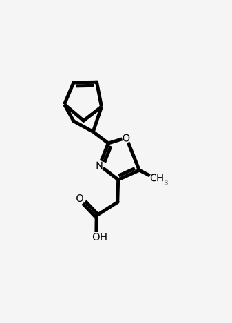 Cc1oc(C2CC3C=CC2C3)nc1CC(=O)O